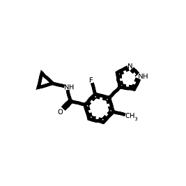 Cc1ccc(C(=O)NC2CC2)c(F)c1-c1cn[nH]c1